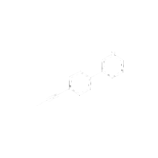 [CH2]C#Cc1ccc(-c2cccnc2)cc1